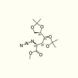 COC(=O)[C@@H](N=[N+]=[N-])[C@H]1OC(C)(C)O[C@@H]1[C@H]1COC(C)(C)O1